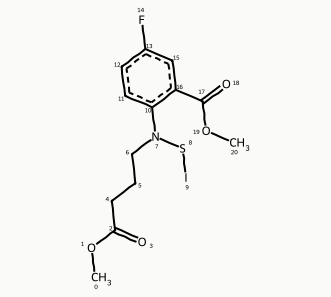 COC(=O)CCCN(SI)c1ccc(F)cc1C(=O)OC